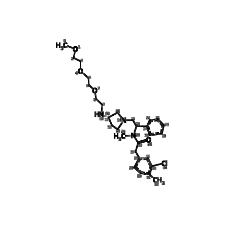 COCCOCCOCCN[C@H]1CCN(CC(c2ccccc2)N(C)C(=O)Cc2ccc(C)c(Cl)c2)C1